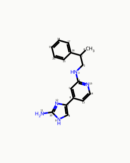 CC(CNc1cc(-c2c[nH]c(N)n2)ccn1)c1ccccc1